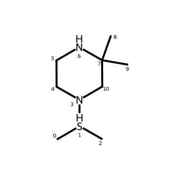 C[SH](C)N1CCNC(C)(C)C1